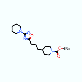 CC(C)(C)OC(=O)N1CCC(CCCc2nc(N3CCCCC3)no2)CC1